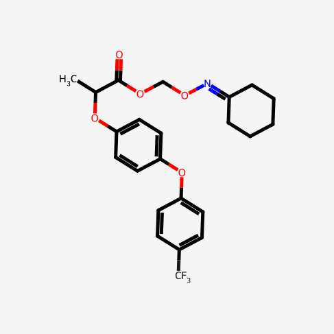 CC(Oc1ccc(Oc2ccc(C(F)(F)F)cc2)cc1)C(=O)OCON=C1CCCCC1